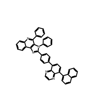 c1ccc(-c2nc3ccccc3c3nc(-c4ccc(-c5ccc(-c6cccc7ccccc67)c6nccnc56)cc4)n(-c4ccccc4)c23)cc1